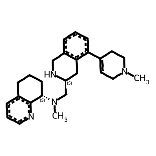 CN1CC=C(c2cccc3c2C[C@@H](CN(C)[C@H]2CCCc4cccnc42)NC3)CC1